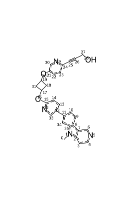 Cn1c2ccncc2c2ccc(-c3ccc(OC4CC(Oc5ccc(C#CCO)nc5)C4)nc3)cc21